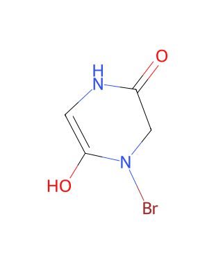 O=C1CN(Br)C(O)=CN1